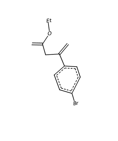 C=C(CC(=C)c1ccc(Br)cc1)OCC